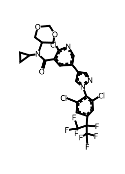 O=C(c1cc(-c2cnn(-c3c(Cl)cc(C(F)(C(F)(F)F)C(F)(F)F)cc3Cl)c2)cnc1Cl)N(C1CC1)C1COCOC1